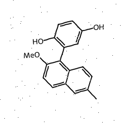 COc1ccc2cc(C)ccc2c1-c1cc(O)ccc1O